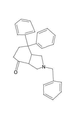 O=C1CCC(c2ccccc2)(c2ccccc2)C2CN(Cc3ccccc3)CC12